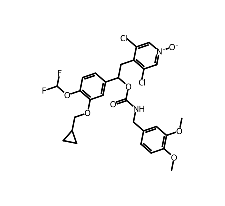 COc1ccc(CNC(=O)OC(Cc2c(Cl)c[n+]([O-])cc2Cl)c2ccc(OC(F)F)c(OCC3CC3)c2)cc1OC